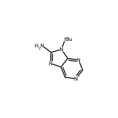 CC(C)(C)n1c(N)nc2cncnc21